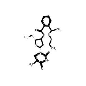 CCSSC(C)c1ccccc1C(=O)OC1C[C@H](n2cc(C)c(=O)[nH]c2=O)O[C@@H]1CC